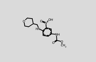 COC(=O)Nc1ccc(NCC2CCOCC2)c([N+](=O)O)c1